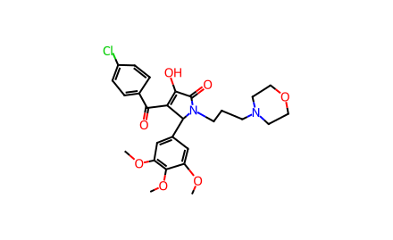 COc1cc(C2C(C(=O)c3ccc(Cl)cc3)=C(O)C(=O)N2CCCN2CCOCC2)cc(OC)c1OC